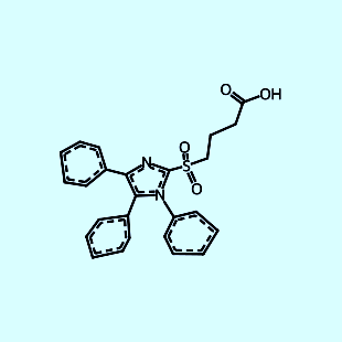 O=C(O)CCCS(=O)(=O)c1nc(-c2ccccc2)c(-c2ccccc2)n1-c1ccccc1